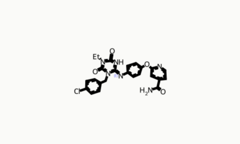 CCn1c(=O)[nH]/c(=N\c2ccc(Oc3cc(C(N)=O)ccn3)cc2)n(Cc2ccc(Cl)cc2)c1=O